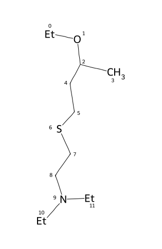 CCOC(C)CCSCCN(CC)CC